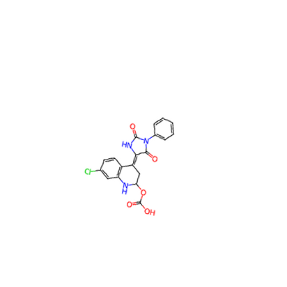 O=C(O)OC1CC(=C2NC(=O)N(c3ccccc3)C2=O)c2ccc(Cl)cc2N1